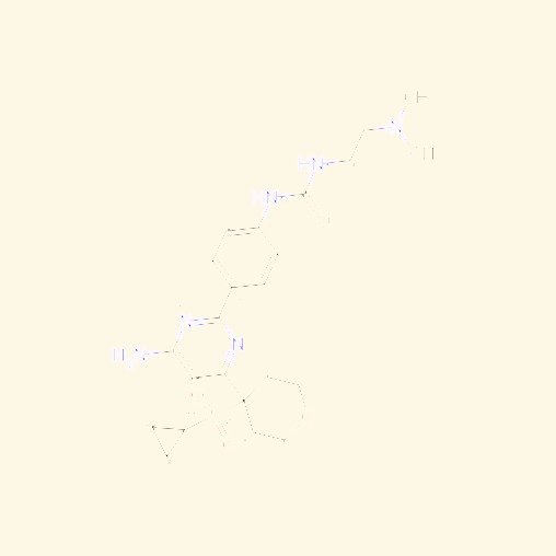 CN(C)CCNC(=O)Nc1ccc(-c2nc(N)cc(C3(S(=O)(=O)C4CC4)CCOCC3)n2)cc1